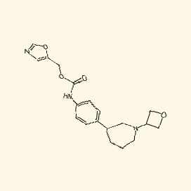 O=C(Nc1ccc(C2CCCN(C3COC3)C2)cc1)OCc1cnco1